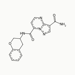 NC(=O)c1cnn2c(C(=O)NC3COc4ccccc4C3)ccnc12